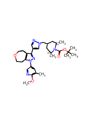 COc1ncc(-n2nc(-c3cnn(CC4C[C@H](C)N(C(=O)OC(C)(C)C)[C@@H](C)C4)c3)c3c2CCOCC3)cc1C